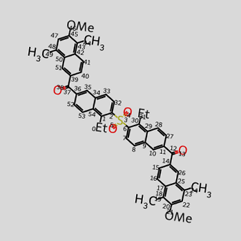 CCc1c(S(=O)(=O)c2ccc3cc(C(=O)c4ccc5c(C)c(OC)cc(C)c5c4)ccc3c2CC)ccc2cc(C(=O)c3ccc4c(C)c(OC)cc(C)c4c3)ccc12